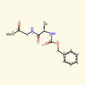 COC(=O)CNC(=O)[C@H](NC(=O)OCc1ccccc1)C(C)C